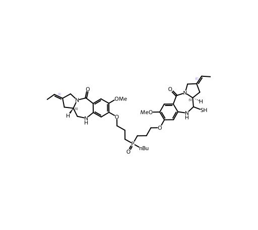 C/C=C1\C[C@H]2CNc3cc(OCCCP(=O)(CCCC)CCCOc4cc5c(cc4OC)C(=O)N4C/C(=C/C)C[C@H]4C(S)N5)c(OC)cc3C(=O)N2C1